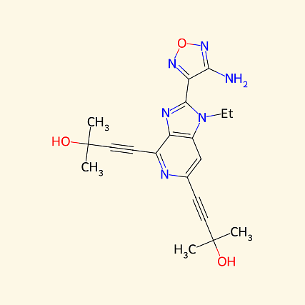 CCn1c(-c2nonc2N)nc2c(C#CC(C)(C)O)nc(C#CC(C)(C)O)cc21